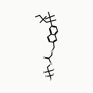 CCC(C)(C)CC(C)(c1ccc2cc(COCC(=O)OCC(F)(F)C(F)(F)F)ccc2c1)C(C)(C)C